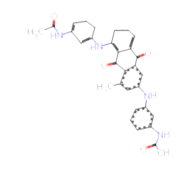 CC(=O)NC1=CCCC(NC2=C3C(=O)c4c(C)cc(Nc5cccc(NC(C)=O)c5)cc4C(=O)C3=CCC2)=C1